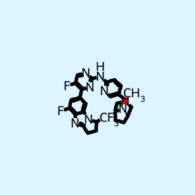 CN1CC2CCC(C1)N2Cc1ccc(Nc2ncc(F)c(-c3cc(F)c4nc5n(c4c3)C(C(F)(F)F)CC5)n2)nc1